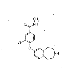 CNC(=O)c1ccc(Oc2ccc3c(c2)CCNCC3)c(Cl)c1